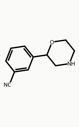 N#Cc1cccc(C2CNCCO2)c1